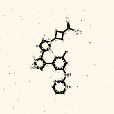 Cc1cc(Nc2ncccn2)cc(-c2c[nH]nc2-c2ccn(C3CC(C(N)=O)C3)n2)c1